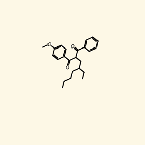 CCCCC(CC)CC(C(=O)c1ccccc1)C(=O)c1ccc(OC)cc1